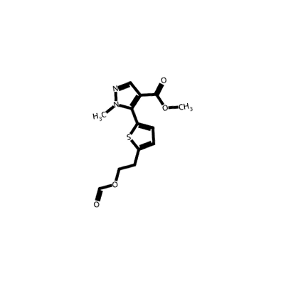 COC(=O)c1cnn(C)c1-c1ccc(CCOC=O)s1